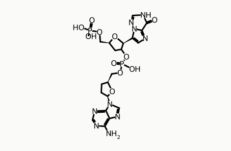 Nc1ncnc2c1ncn2[C@H]1CC[C@@H](COP(=O)(O)OC2C[C@@H](COP(=O)(O)O)O[C@H]2c2cnc3c(=O)[nH]cnn23)O1